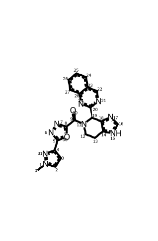 Cn1ccc(-c2nnc(C(=O)N3CCc4[nH]cnc4[C@@H]3c3ncc4ccccc4n3)o2)n1